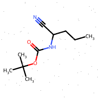 CCCC(C#N)NC(=O)OC(C)(C)C